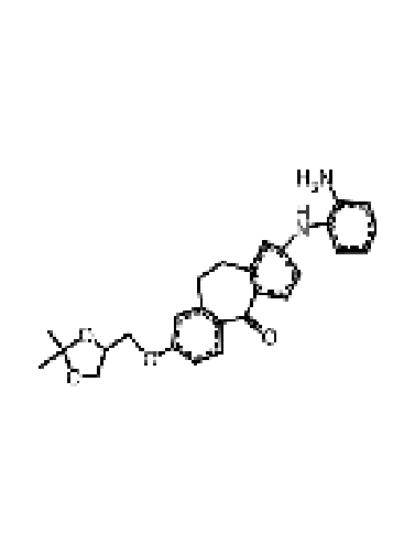 CC1(C)OCC(COc2ccc3c(c2)CCc2cc(Nc4ccccc4N)ccc2C3=O)O1